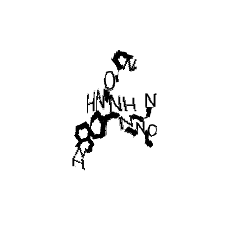 C=CC(=O)N1CCN(C2NC(OC[C@@H]3CCCN3C)NC3C[C@@]4(CCCC5CNCCC54)CCC32)C[C@@H]1CC#N